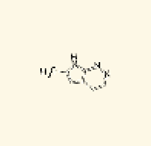 Cc1cc2ccnnc2[nH]1